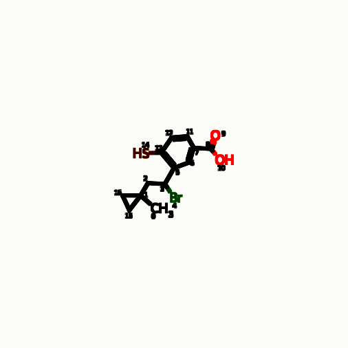 CC1(CC(Br)c2cc(C(=O)O)ccc2S)CC1